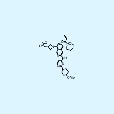 C=CC(=O)N1CCCCC[C@@H]1c1ccc(N2C[C@H](CS(C)(=O)=O)[C@H]2C)c2cnc(Nc3ccnc(N4CCC(OC)CC4)n3)cc12